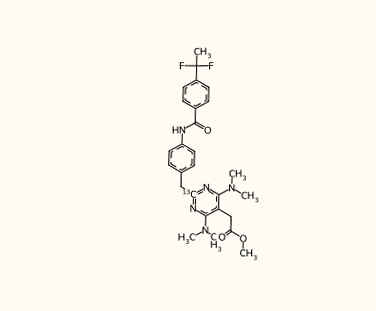 COC(=O)Cc1c(N(C)C)n[13c](Cc2ccc(NC(=O)c3ccc(C(C)(F)F)cc3)cc2)nc1N(C)C